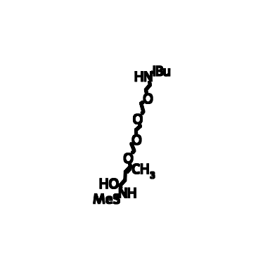 CCC(C)NCCOCCOCCOCCO/C(C)=C/CC(O)NSC